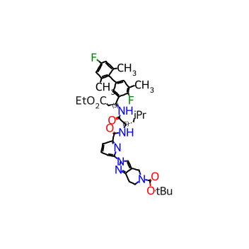 CCOC(=O)C[C@H](NC(=O)[C@H](CC(C)C)NC(=O)c1cccc(-n2cc3c(n2)CCN(C(=O)OC(C)(C)C)C3)n1)c1cc(-c2c(C)cc(F)cc2C)cc(C)c1F